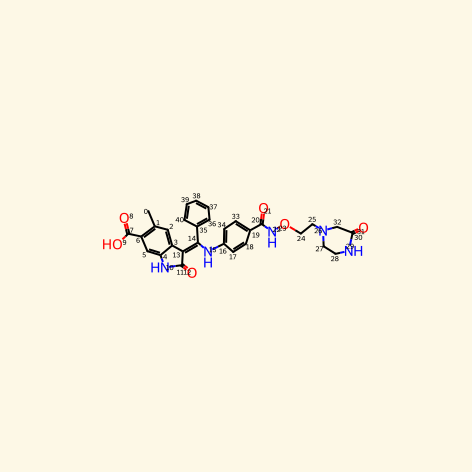 Cc1cc2c(cc1C(=O)O)NC(=O)/C2=C(\Nc1ccc(C(=O)NOCCN2CCNC(=O)C2)cc1)c1ccccc1